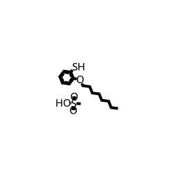 CCCCCCCCOc1ccccc1S.CS(=O)(=O)O